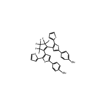 CC(C)(C)c1ccc(-c2cc(C3=C(c4cc(-c5ccc(C(C)(C)C)cc5)sc4-c4cccs4)C(F)(F)C(F)(F)C3(F)F)c(-c3cccs3)s2)cc1